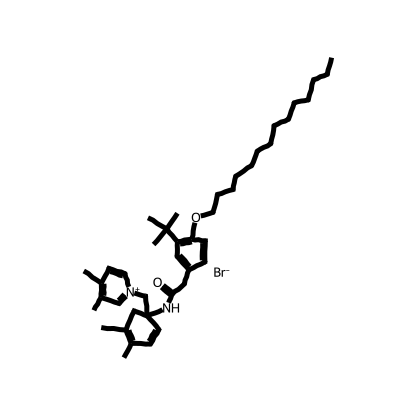 CCCCCCCCCCCCCCOc1ccc(CC(=O)NC2(C[n+]3ccc(C)c(C)c3)C=CC(C)=C(C)C2)cc1C(C)(C)C.[Br-]